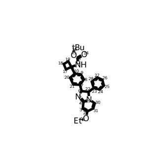 CCOC1=CC2=NC(c3ccc(C4(NC(=O)OC(C)(C)C)CCC4)cc3)C(c3ccccc3)N2C=C1